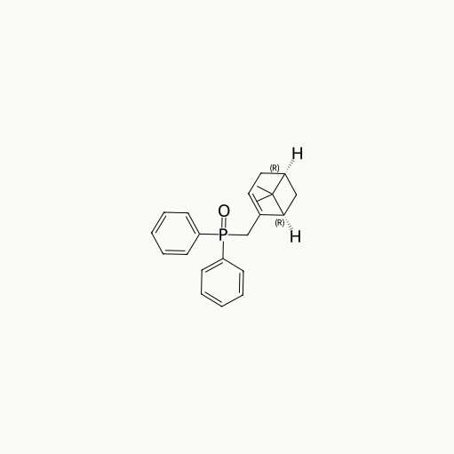 CC1(C)[C@H]2CC=C(CP(=O)(c3ccccc3)c3ccccc3)[C@@H]1C2